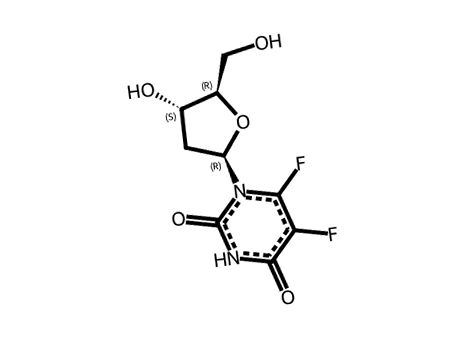 O=c1[nH]c(=O)n([C@H]2C[C@H](O)[C@@H](CO)O2)c(F)c1F